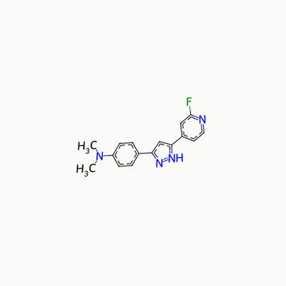 CN(C)c1ccc(-c2cc(-c3ccnc(F)c3)[nH]n2)cc1